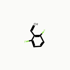 [CH]=Cc1c(F)cccc1F